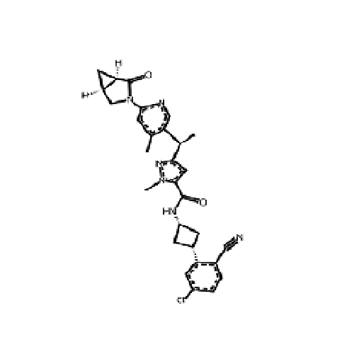 Cc1cc(N2C[C@H]3C[C@H]3C2=O)ncc1[C@@H](C)c1cc(C(=O)N[C@H]2C[C@@H](c3cc(Cl)ccc3C#N)C2)n(C)n1